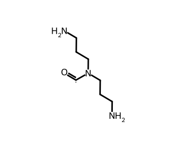 NCCCN([C]=O)CCCN